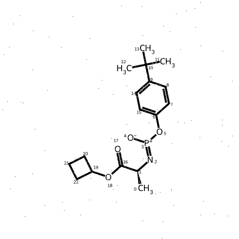 C[C@H](N=[P+]([O-])Oc1ccc(C(C)(C)C)cc1)C(=O)OC1CCC1